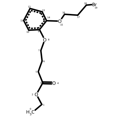 CCOC(=O)CCCOc1ccccc1OCCCBr